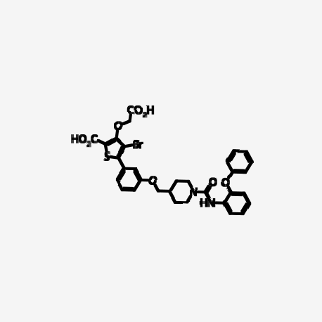 O=C(O)COc1c(C(=O)O)sc(-c2cccc(OCC3CCN(C(=O)Nc4ccccc4Oc4ccccc4)CC3)c2)c1Br